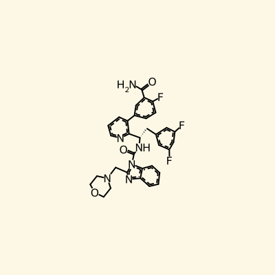 NC(=O)c1cc(-c2cccnc2[C@H](Cc2cc(F)cc(F)c2)NC(=O)n2c(CN3CCOCC3)nc3ccccc32)ccc1F